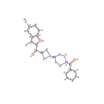 Cc1c(C(=O)N2CC(N3CCN(C(=O)c4ccccc4)CC3)C2)oc2ccc(F)cc12